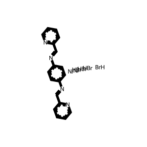 Br.Br.Br.Br.C(=Nc1ccc(N=Cc2ccccn2)cc1)c1ccccn1.[Ni].[Ni]